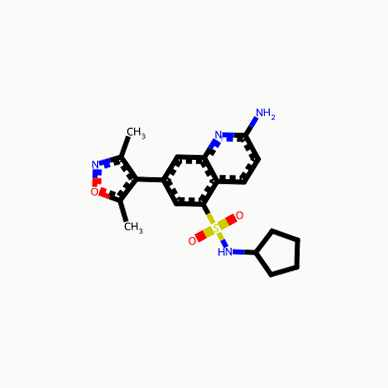 Cc1noc(C)c1-c1cc(S(=O)(=O)NC2CCCC2)c2ccc(N)nc2c1